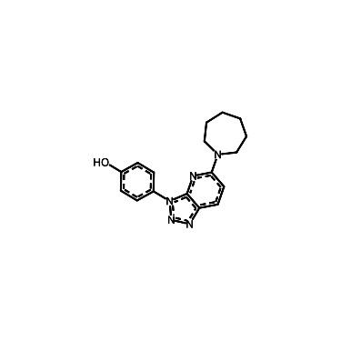 Oc1ccc(-n2nnc3ccc(N4CCCCCC4)nc32)cc1